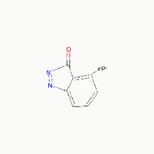 CCCc1cccc2c1C(=O)N=N2